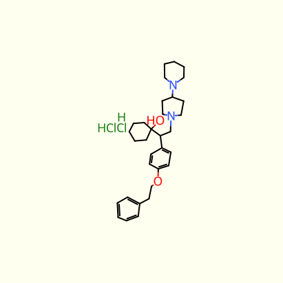 Cl.Cl.OC1(C(CN2CCC(N3CCCCC3)CC2)c2ccc(OCCc3ccccc3)cc2)CCCCC1